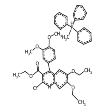 CCOC(=O)c1c(Cl)nc2cc(OCC)c(OCC)cc2c1-c1ccc(OC)c(OC)c1.C[PH](c1ccccc1)(c1ccccc1)c1ccccc1